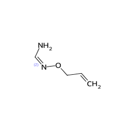 C=CCO/N=C\N